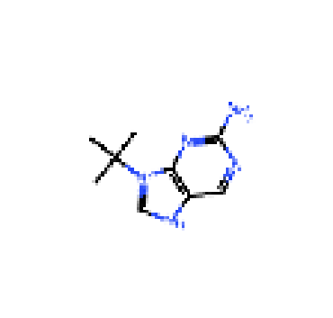 CC(C)(C)[n+]1c[nH]c2cnc(N)nc21